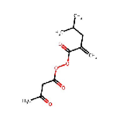 C=C(CC(C)C)C(=O)OOC(=O)CC(C)=O